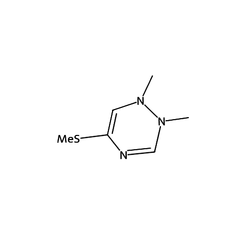 CSC1=CN(C)N(C)C=N1